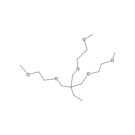 CCC(COCCOC)(COCCOC)COCCOC